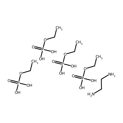 CCOP(=O)(O)O.CCOP(=O)(O)O.CCOP(=O)(O)O.CCOP(=O)(O)O.NCCN